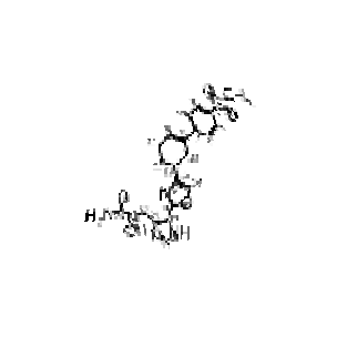 CS(=O)(=O)c1ccc(C2=CCCC(c3coc(-c4[nH]nnc4CN(O)C(N)=O)n3)C2)cc1